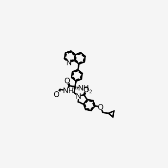 N[C@](CN1Cc2ccc(OCC3CC3)cc2C1=O)(C(=O)NC=O)c1ccc(-c2cccc3cccnc23)cc1